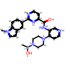 CB(O)N1CCN(c2ccncc2NC(=O)c2ccnc(-c3ccc4c(ccn4C)c3)n2)CC1